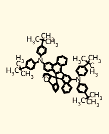 CC(C)(C)c1ccc(N(c2ccc(C(C)(C)C)cc2)c2ccc3c4c(c5ccccc5c3c2)-c2cc(N(c3ccc(C(C)(C)C)cc3)c3ccc(C(C)(C)C)cc3)c3ccccc3c2C42c3ccccc3-c3ccccc32)cc1